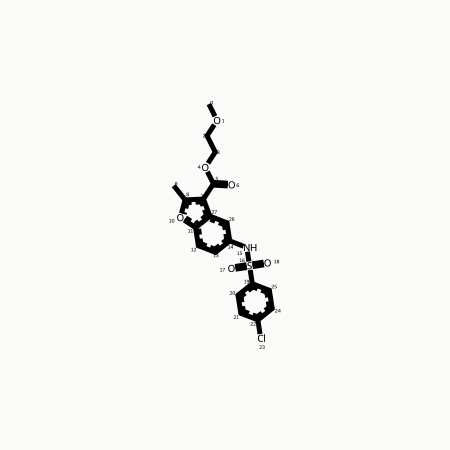 COCCOC(=O)c1c(C)oc2ccc(NS(=O)(=O)c3ccc(Cl)cc3)cc12